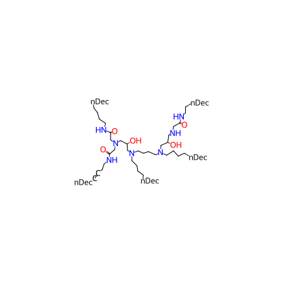 CCCCCCCCCCCCCCNC(=O)CN(CC(=O)NCCCCCCCCCCCCCC)CC(O)CN(CCCCCCCCCCCCCC)CCCCN(CCCCCCCCCCCCCC)CC(O)CNCC(=O)NCCCCCCCCCCCC